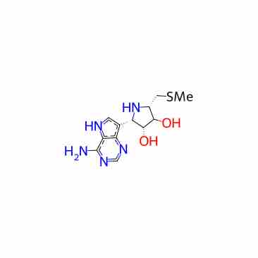 CSC[C@H]1N[C@@H](c2c[nH]c3c(N)ncnc23)[C@@H](O)C1O